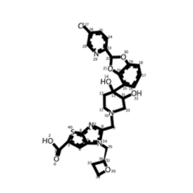 O=C(O)c1cc2c(nc(CN3CCC(O)(c4cccc5c4OC(c4ccc(Cl)cn4)O5)C(O)C3)n2C[C@@H]2CCO2)s1